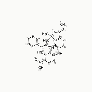 COC1OC(C)(C)c2nc(Nc3cc(N[C@H](CO)c4ccccc4)c(C(=O)O)cn3)ccc21